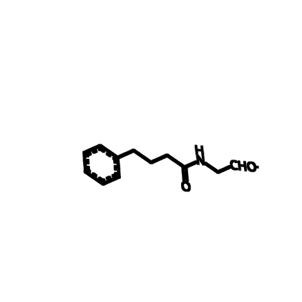 O=[C]CNC(=O)CCCc1ccccc1